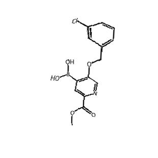 COC(=O)c1cc(B(O)O)c(OCc2cccc(Cl)c2)cn1